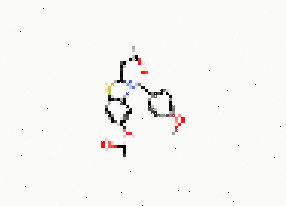 COc1ccc(CN2C(=CC(C)=O)Sc3ccc(OC(C)=O)cc32)cc1